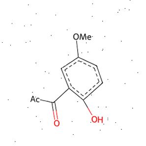 COc1ccc(O)c(C(=O)C(C)=O)c1